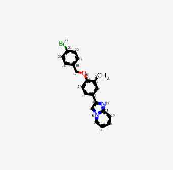 Cc1cc(-c2cn3ccccc3n2)ccc1OCc1ccc(Br)cc1